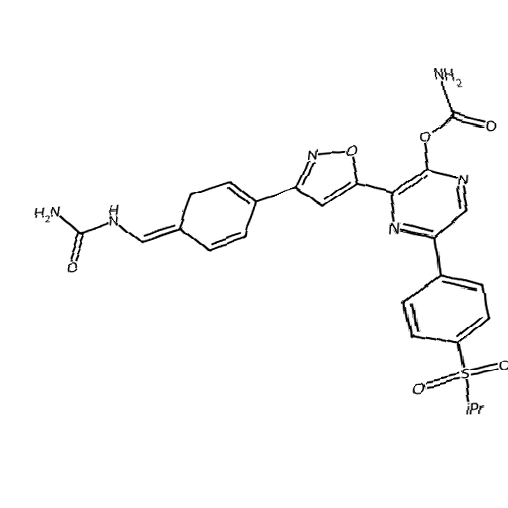 CC(C)S(=O)(=O)c1ccc(-c2cnc(OC(N)=O)c(-c3cc(C4=CCC(=CNC(N)=O)C=C4)no3)n2)cc1